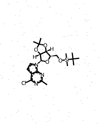 Cc1nc(Cl)c2ccn([C@@H]3O[C@H](CO[Si](C)(C)C(C)(C)C)[C@H]4OC(C)(C)O[C@H]43)c2n1